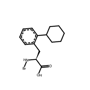 O=C(O)[C@H](Cc1ccccc1C1CCCCC1)NBr